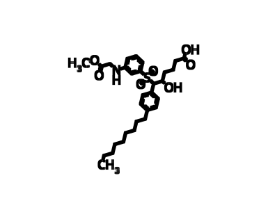 CCCCCCCCCc1ccc(C(C(O)CCCC(=O)O)S(=O)(=O)c2cccc(NCC(=O)OC)c2)cc1